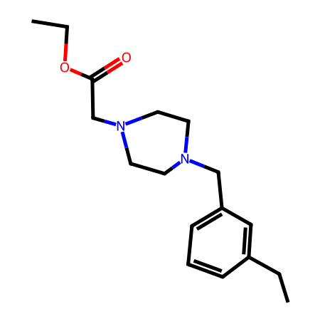 CCOC(=O)CN1CCN(Cc2cccc(CC)c2)CC1